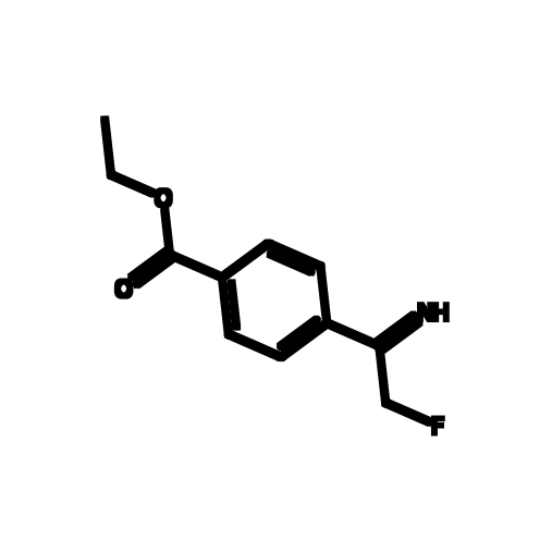 CCOC(=O)c1ccc(C(=N)CF)cc1